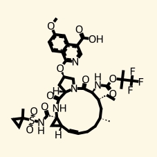 CC[C@@H]1C[C@H](C)CC/C=C\[C@@H]2C[C@@]2(C(=O)NS(=O)(=O)C2(C)CC2)NC(=O)[C@@H]2C[C@@H](Oc3ncc(C(=O)O)c4cc(OC)ccc34)CN2C(=O)[C@H]1NC(=O)OC(C)(C)C(F)(F)F